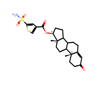 C[C@]12CCC(=O)C=C1CCC1C2CC[C@@]2(C)C1CC[C@@H]2OC(=O)c1csc(S(N)(=O)=O)c1